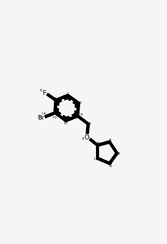 Fc1ccc(COC2CCCC2)cc1Br